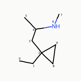 CCC1(CC(C)NC)CC1